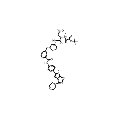 C[C@@H](NC(=O)OC(C)(C)C)C(C[S+](C)[O-])C(=O)N[C@@H]1CCCN(Cc2ccnc(C(=O)Nc3ccc(-c4cc5c(N6CCOCC6)ncnc5[nH]4)cc3)c2)C1